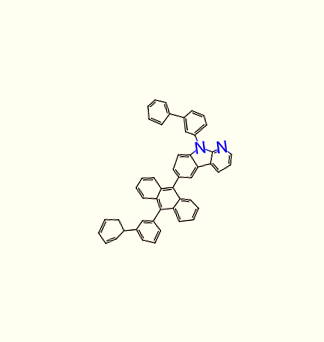 C1=CCC(c2cccc(-c3c4ccccc4c(-c4ccc5c(c4)c4cccnc4n5-c4cccc(-c5ccccc5)c4)c4ccccc34)c2)C=C1